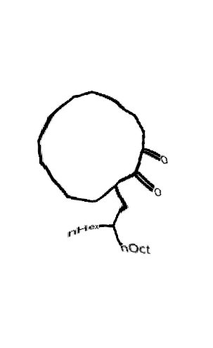 CCCCCCCCC(CCCCCC)CC1CCCCCCCCCCCC(=O)C1=O